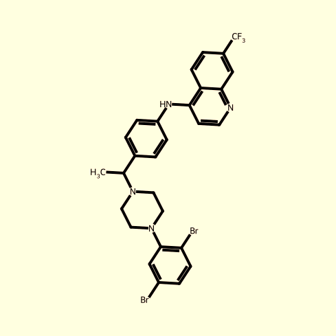 CC(c1ccc(Nc2ccnc3cc(C(F)(F)F)ccc23)cc1)N1CCN(c2cc(Br)ccc2Br)CC1